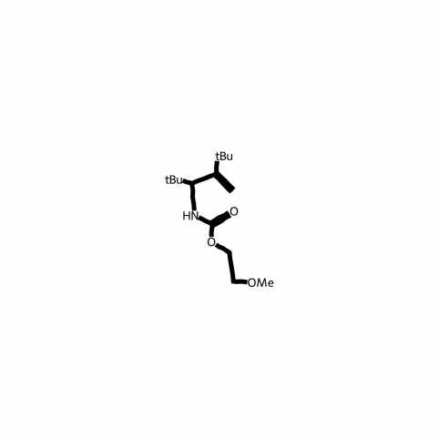 C=C(C(NC(=O)OCCOC)C(C)(C)C)C(C)(C)C